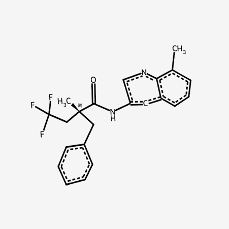 Cc1cccc2cc(NC(=O)[C@](C)(Cc3ccccc3)CC(F)(F)F)cnc12